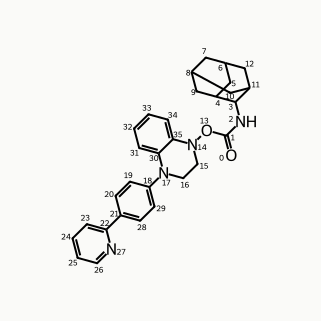 O=C(NC1C2CC3CC(C2)CC1C3)ON1CCN(c2ccc(-c3ccccn3)cc2)c2ccccc21